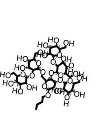 CCCCO[C@H]1OC(CO[C@@H]2OC(CO)[C@@H](O)[C@H](O)C2O[C@H]2OC(CO)[C@@H](O)[C@H](O)C2O)[C@@H](O[C@@H]2OC(CO)[C@@H](O)[C@H](O)C2O[C@@H]2OC(CO)[C@@H](O)[C@H](O)C2O)[C@H](O[C@@H]2OC(CO)[C@@H](O)[C@H](O)C2O)C1O